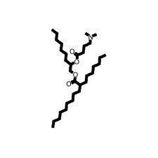 CCCCCCCCCC(CCCCCCC)C(=O)OCC(CCCCCCC)OC(=O)CCCN(C)C